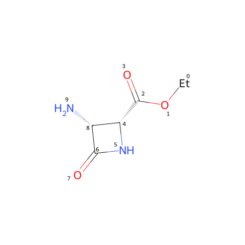 CCOC(=O)[C@@H]1NC(=O)[C@@H]1N